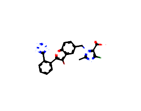 Cc1nc(Cl)c(C(=O)O)n1Cc1ccc2oc(-c3ccccc3-c3nnn[nH]3)c(Br)c2c1